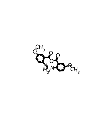 COc1ccc(N)c(C(=O)OC(=O)c2cc(OC)ccc2N)c1